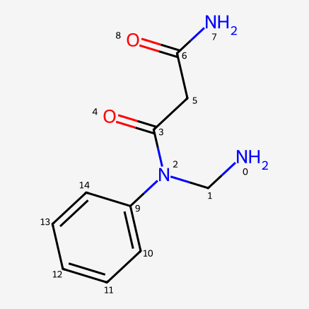 NCN(C(=O)CC(N)=O)c1ccccc1